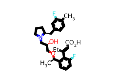 CC/C(=C\C(=O)O)c1c(F)cccc1[C@@H](C)OC[C@@H](O)CN1CCC[C@H]1Cc1ccc(C)c(F)c1